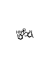 Cc1cnc2c(c1)C[C@@]1(C2)C(=O)Nc2ncccc21